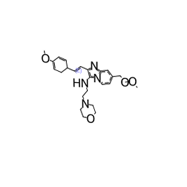 COOCc1ccn2c(NCCN3CCOCC3)c(/C=C/C3C=CC(OC)=CC3)nc2c1